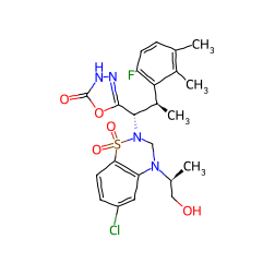 Cc1ccc(F)c([C@@H](C)[C@@H](c2n[nH]c(=O)o2)N2CN([C@@H](C)CO)c3cc(Cl)ccc3S2(=O)=O)c1C